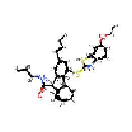 CC/C=C/c1cc(Sc2nc3ccc(OCC)cc3s2)c2c(c1)C(C(=O)NCCC)c1ccccc1-2